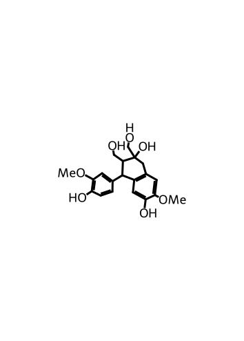 COc1cc(C2c3cc(O)c(OC)cc3CC(O)(CO)C2CO)ccc1O